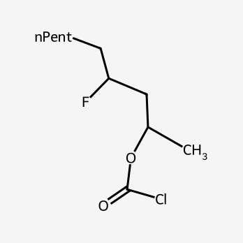 CCCCCCC(F)CC(C)OC(=O)Cl